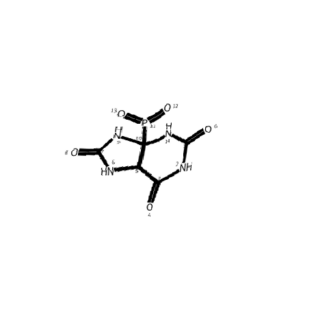 O=C1NC(=O)C2NC(=O)NC2(P(=O)=O)N1